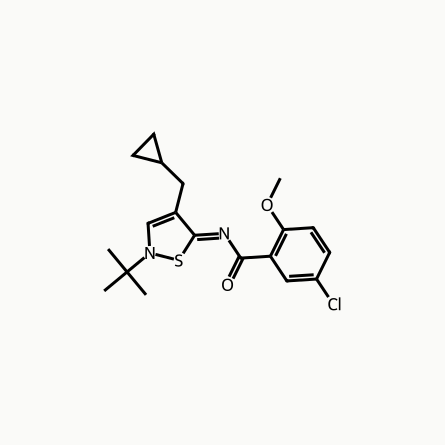 COc1ccc(Cl)cc1C(=O)N=c1sn(C(C)(C)C)cc1CC1CC1